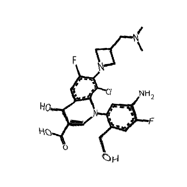 CN(C)CC1CN(c2c(F)cc3c(c2Cl)N(c2cc(N)c(F)cc2CO)C=C(C(=O)O)C3O)C1